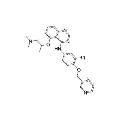 CC(CN(C)C)Oc1cccc2ncnc(Nc3ccc(OCc4cnccn4)c(Cl)c3)c12